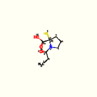 CCC(=O)N1CCC[C@@]1(S)C(=O)O